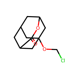 O=C1OC2CC3CC1CC(OCCl)(C3)C2